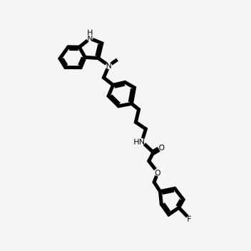 CN(Cc1ccc(CCCNC(=O)COCc2ccc(F)cc2)cc1)c1c[nH]c2ccccc12